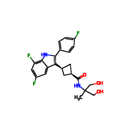 CC(CO)(CO)NC(=O)[C@H]1C[C@@H](c2c(-c3ccc(F)cc3)[nH]c3c(F)cc(F)cc32)C1